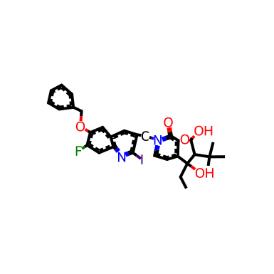 CCC(O)(c1ccn(Cc2cc3cc(OCc4ccccc4)c(F)cc3nc2I)c(=O)c1)C(C(=O)O)C(C)(C)C